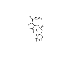 COC(=O)C1CCC(=O)C1CS(=O)(=O)CC1COC(C)(C)O1